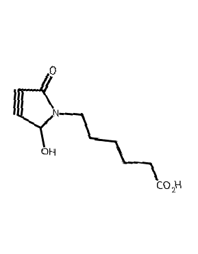 O=C(O)CCCCCN1C(=O)C#CC1O